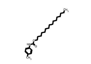 CCCCCCCCCCCCCCCCOC(=O)Nc1ccc(C)cc1